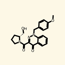 COc1ccc(Cn2nc(C(=O)N3CCC[C@@H]3CO)c(=O)c3ccccc32)cc1